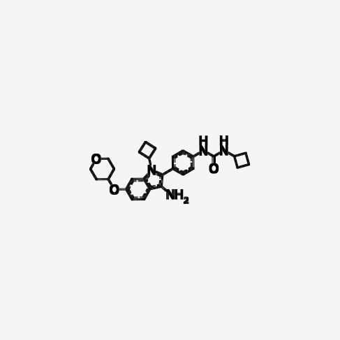 Nc1c(-c2ccc(NC(=O)NC3CCC3)cc2)n(C2CCC2)c2cc(OC3CCOCC3)ccc12